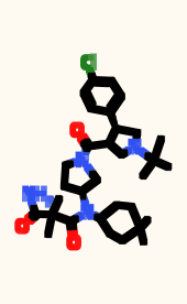 CC1(C)CCC(N(C(=O)C(C)(C)C(N)=O)[C@H]2CCN(C(=O)C3CN(C(C)(C)C)C[C@@H]3c3ccc(Cl)cc3)C2)CC1